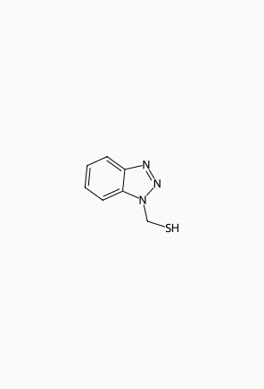 SCn1nnc2ccccc21